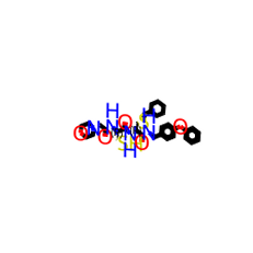 O=C(CN1CCOCC1)N[C@@H](CS)C(=O)N[C@@H](CSCC1CCCCC1)C(=O)NCc1ccc(Oc2ccccc2)cc1